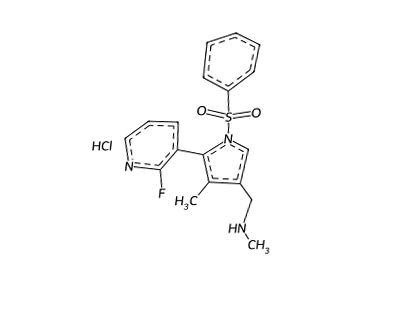 CNCc1cn(S(=O)(=O)c2ccccc2)c(-c2cccnc2F)c1C.Cl